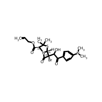 C=CCOC(=O)[C@@H]1N2C(=O)[C@@](Br)(C(O)C(=O)c3ccc(N(C)C)cc3)[C@H]2SC1(C)C